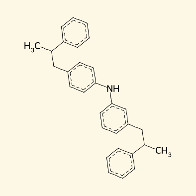 CC(Cc1ccc(Nc2cccc(CC(C)c3ccccc3)c2)cc1)c1ccccc1